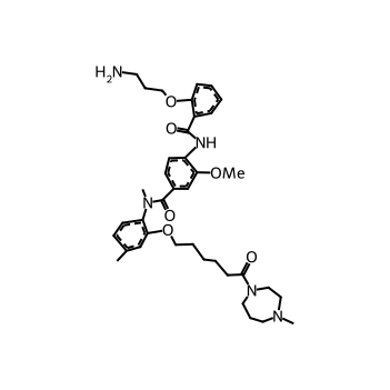 COc1cc(C(=O)N(C)c2ccc(C)cc2OCCCCCC(=O)N2CCCN(C)CC2)ccc1NC(=O)c1ccccc1OCCCN